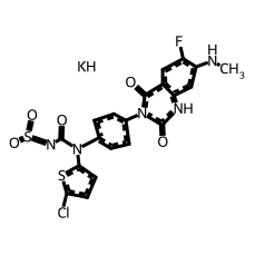 CNc1cc2[nH]c(=O)n(-c3ccc(N(C(=O)N=S(=O)=O)c4ccc(Cl)s4)cc3)c(=O)c2cc1F.[KH]